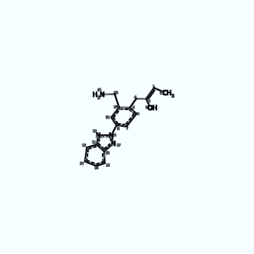 CC=C(O)Cc1ccc(-n2nc3ccccc3n2)cc1CN